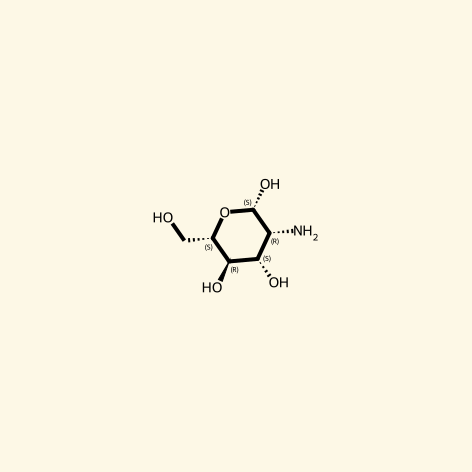 N[C@@H]1[C@H](O)[C@@H](O)[C@H](CO)O[C@@H]1O